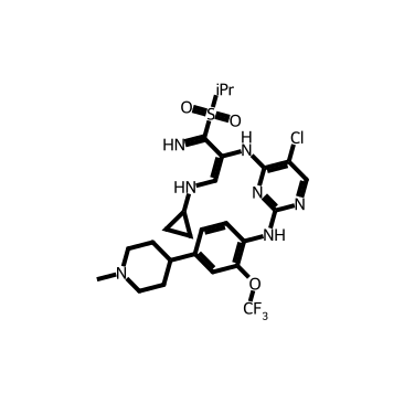 CC(C)S(=O)(=O)C(=N)/C(=C\NC1CC1)Nc1nc(Nc2ccc(C3CCN(C)CC3)cc2OC(F)(F)F)ncc1Cl